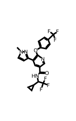 Cn1ccc(-c2cc(C(=O)NC(C3CC3)C(F)(F)F)cnc2Oc2ccc(C(F)(F)F)cc2)n1